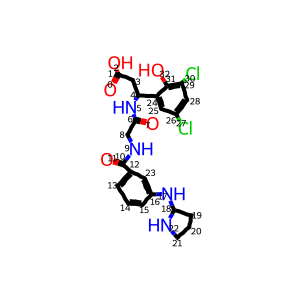 O=C(O)CC(NC(=O)CNC(=O)c1cccc(NC2CCCN2)c1)c1cc(Cl)cc(Cl)c1O